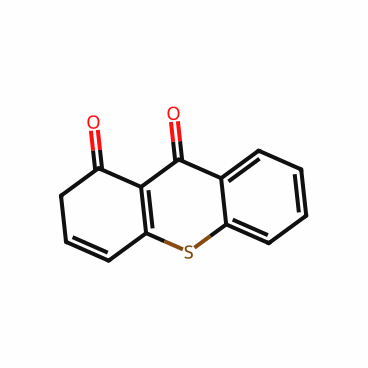 O=C1CC=Cc2sc3ccccc3c(=O)c21